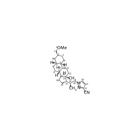 COC[C@H]1CC[C@H]2[C@H](CC[C@@H]3[C@@H]2CC[C@]2(C)[C@@H]([C@H](C)Cn4ccc(C#N)n4)CC[C@@H]32)C1